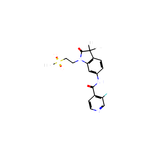 CC1(C)C(=O)N(CCS(C)(=O)=O)c2cc(NC(=O)c3ccncc3F)ccc21